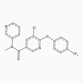 CN(C(=O)c1cnc(Oc2ccc(C(F)(F)F)cc2)c(Cl)c1)c1cccnc1